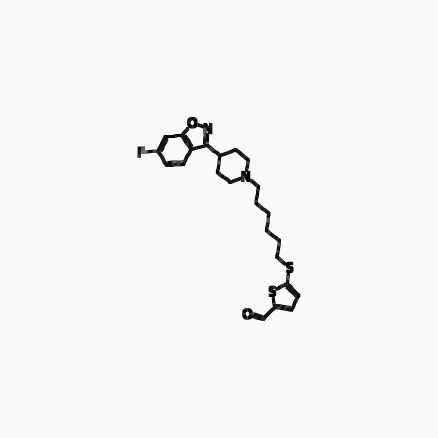 O=Cc1ccc(SCCCCCCN2CCC(c3noc4cc(F)ccc34)CC2)s1